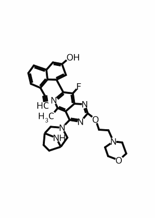 C#Cc1cccc2cc(O)cc(-c3nc(C)c4c(N5CC6CCC(C5)N6)nc(OCCN5CCOCC5)nc4c3F)c12